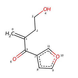 C=C(CCO)C(=O)c1ccoc1